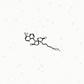 CCCCCCN1C(=O)CCC12CCC(=O)N2c1cccc2c(O)cccc12